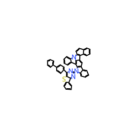 c1ccc(-c2ccc(-c3nc(-n4c5ccccc5c5cc6c7c8ccccc8ccc7n7c8ccccc8c(c54)c67)nc4c3sc3ccccc34)cc2)cc1